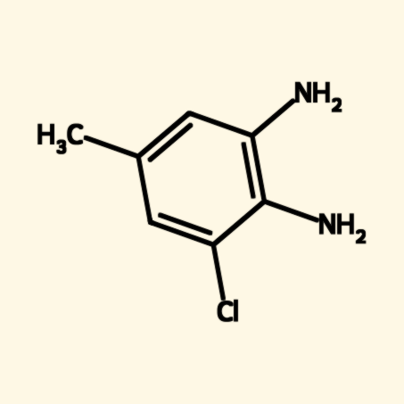 Cc1cc(N)c(N)c(Cl)c1